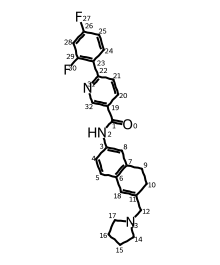 O=C(Nc1ccc2c(c1)CCC(CN1CCCC1)=C2)c1ccc(-c2ccc(F)cc2F)nc1